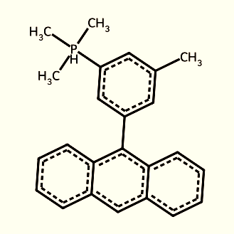 Cc1cc(-c2c3ccccc3cc3ccccc23)cc([PH](C)(C)C)c1